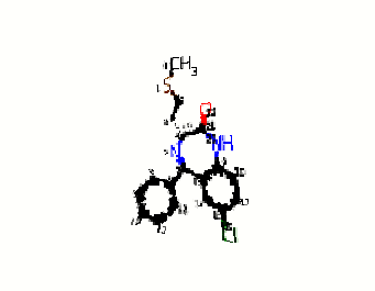 CSCC[C@H]1N=C(c2ccccc2)c2cc(Cl)ccc2NC1=O